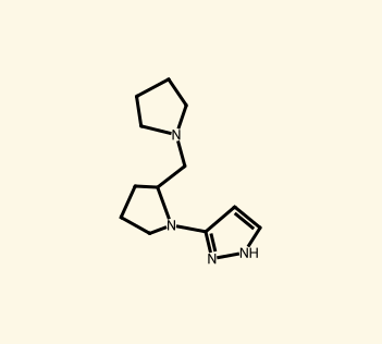 c1cc(N2CCCC2CN2CCCC2)n[nH]1